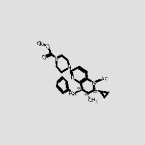 CC(=O)N1c2ccc(N3CCN(C(=O)OC(C)(C)C)CC3)nc2[C@H](Nc2ccccc2)[C@@H](C)[C@@H]1C1CC1